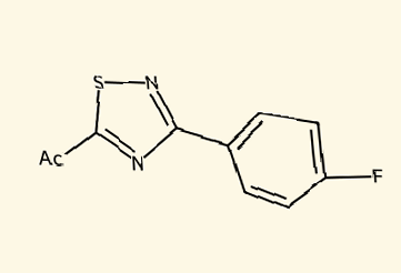 CC(=O)c1nc(-c2ccc(F)cc2)ns1